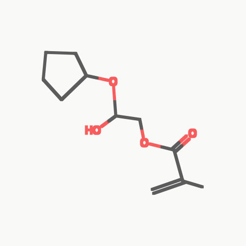 C=C(C)C(=O)OCC(O)OC1CCCC1